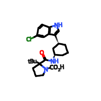 CC(C)(C)C1(C(=O)N[C@H]2CCC[C@@H](c3c[nH]c4ccc(Cl)cc34)C2)CCCN1C(=O)O